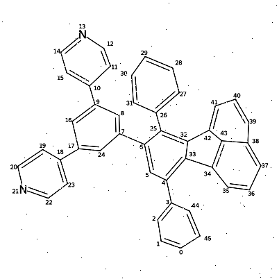 c1ccc(-c2cc(-c3cc(-c4ccncc4)cc(-c4ccncc4)c3)c(-c3ccccc3)c3c2-c2cccc4cccc-3c24)cc1